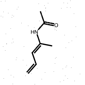 C=C/C=C(\C)NC(C)=O